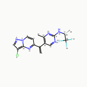 C=C(c1ccn2ncc(Cl)c2n1)c1cnc(N[C@H](C)C(F)(F)F)nc1C